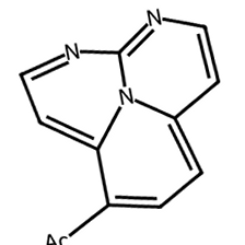 CC(=O)C1=CC=C2C=CN=C3N=CC=C1N23